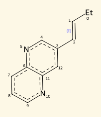 CC/C=C/c1cnc2cccnc2c1